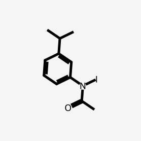 CC(=O)N(I)c1cccc(C(C)C)c1